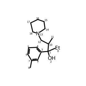 CCC(O)(c1cccc(C)c1)C(C)CN1CCCCC1